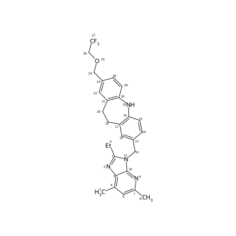 CCc1nc2c(C)cc(C)nc2n1Cc1ccc2c(c1)CCc1cc(COCC(F)(F)F)ccc1N2